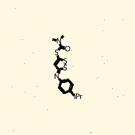 CC(C)c1ccc(N=c2cc(SC(=O)N(C)C)ss2)cc1